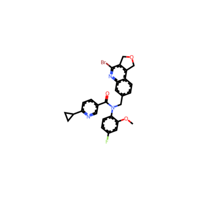 COc1cc(F)ccc1N(Cc1ccc2c3c(c(Br)nc2c1)COC3)C(=O)c1ccc(C2CC2)nc1